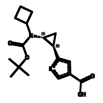 CC(C)(C)OC(=O)N(C1CCC1)[C@@H]1C[C@H]1c1cc(C(=O)O)cs1